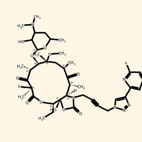 CC[C@H]1OC(=O)[C@@](C)(F)C(=O)[C@H](C)[C@@H](O[C@@H]2OC(C)CC(N(C)C)C2O)[C@](C)(OC)C[C@@H](C)C(=O)[C@H](C)[C@H]2N(CC#CCn3cc(-c4cccc(F)n4)nn3)C(=O)O[C@]12C